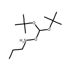 CCC[SiH2]OC(OC(C)(C)C)OC(C)(C)C